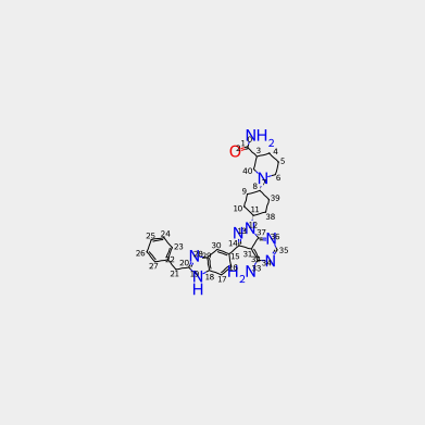 NC(=O)C1CCCN([C@H]2CC[C@@H](n3nc(-c4ccc5[nH]c(Cc6ccccc6)nc5c4)c4c(N)ncnc43)CC2)C1